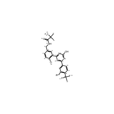 CC(C)c1cc(-c2nc(O)nc(-c3cc(CNC(=O)C(C)(C)C(F)(F)F)ccc3Cl)n2)ccc1C(C)(F)F